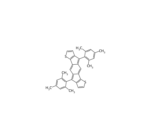 Cc1cc(C)c(C2=c3cc4c(cc3-c3sccc32)=C(c2c(C)cc(C)cc2C)c2ccsc2-4)c(C)c1